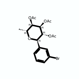 CC(=O)O[C@H]1[C@H](OC(C)=O)[C@@H](c2cccc(Br)c2)O[C@H](C)[C@H]1OC(C)=O